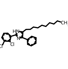 CCCCCCCCCCc1[nH]c(-c2cccc(Cl)c2Cl)nc1-c1ccccc1